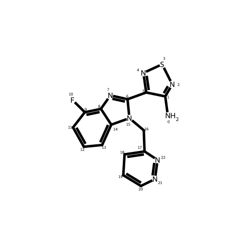 Nc1nsnc1-c1nc2c(F)cccc2n1Cc1cccnn1